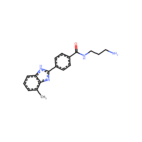 Cc1cccc2[nH]c(-c3ccc(C(=O)NCCCN)cc3)nc12